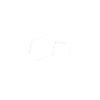 [CH]1CCCC2CCOC12